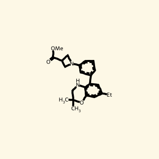 CCc1cc2c(c(-c3cccc(N4CC(C(=O)OC)C4)c3)c1)NCC(C)(C)O2